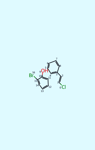 ClC=Cc1ccccc1.Oc1ccccc1Br